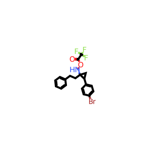 O=C(ONC1(CCc2ccccc2)CC1c1ccc(Br)cc1)C(F)(F)F